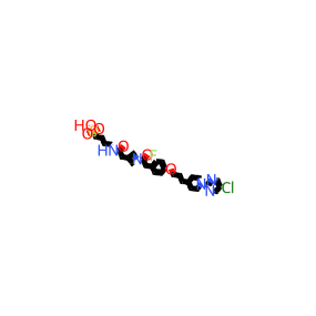 O=C(CC1CN(C(=O)Cc2ccc(OCCCC3CCN(c4ncc(Cl)cn4)CC3)cc2F)C1)NCCCCS(=O)(=O)O